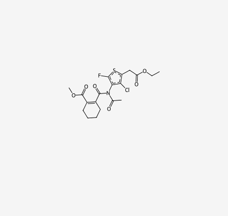 CCOC(=O)Cc1sc(F)c(N(C(C)=O)C(=O)C2=C(C(=O)OC)CCCC2)c1Cl